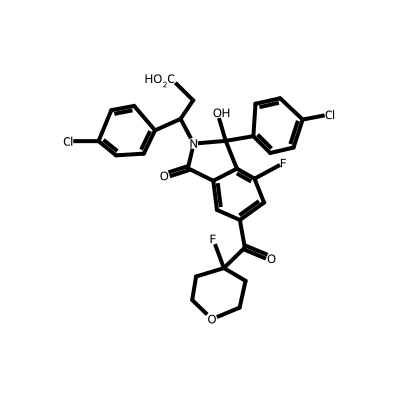 O=C(O)CC(c1ccc(Cl)cc1)N1C(=O)c2cc(C(=O)C3(F)CCOCC3)cc(F)c2C1(O)c1ccc(Cl)cc1